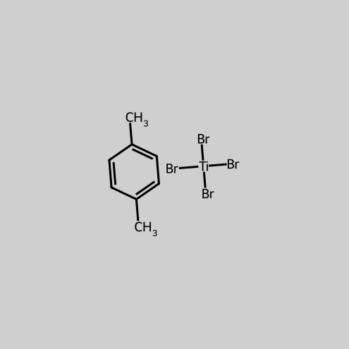 Cc1ccc(C)cc1.[Br][Ti]([Br])([Br])[Br]